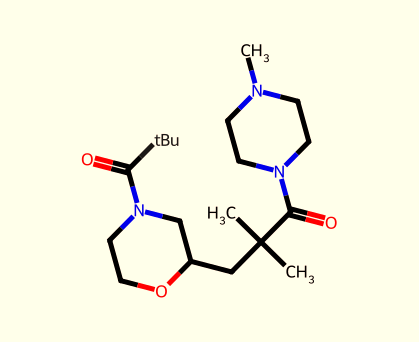 CN1CCN(C(=O)C(C)(C)CC2CN(C(=O)C(C)(C)C)CCO2)CC1